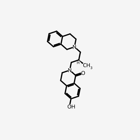 C[C@H](CN1CCc2ccccc2C1)CN1CCc2cc(O)ccc2C1=O